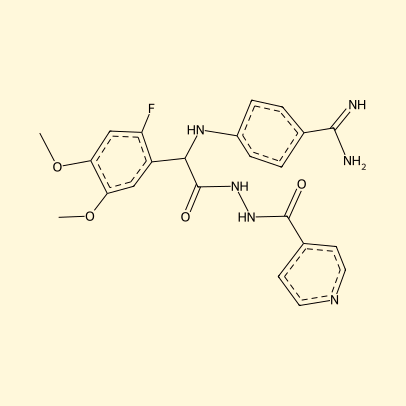 COc1cc(F)c(C(Nc2ccc(C(=N)N)cc2)C(=O)NNC(=O)c2ccncc2)cc1OC